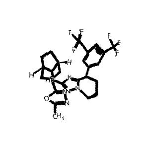 Cc1nnc(N2C[C@H]3CC[C@@H](C2)C3Nc2nc3n(n2)CCCC3c2cc(C(F)(F)F)cc(C(F)(F)F)c2)o1